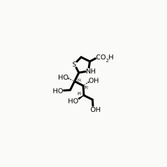 O=C(O)C1CSC([C@](O)(CO)[C@H](O)[C@H](O)CO)N1